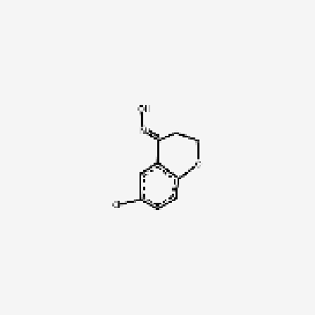 O/N=C1\CCOc2ccc(Cl)cc21